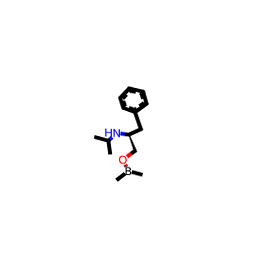 CB(C)OC[C@H](Cc1ccccc1)NC(C)C